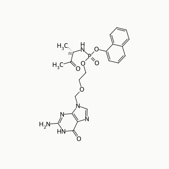 CC(=O)[C@H](C)NP(=O)(OCCOCn1cnc2c(=O)[nH]c(N)nc21)Oc1cccc2ccccc12